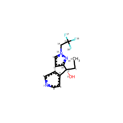 CC[C@@](O)(c1ccncc1)c1ccn(CC(F)(F)F)n1